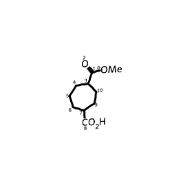 COC(=O)C1CCCC(C(=O)O)CC1